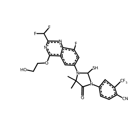 CC1(C)C(=O)N(c2ccc(C#N)c(C(F)(F)F)c2)C(S)N1c1cc(F)c2nc(C(F)F)nc(OCCO)c2c1